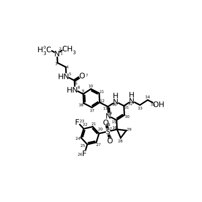 CN(C)CCNC(=O)Nc1ccc(C2=NC(C3(S(=O)(=O)c4cc(F)cc(F)c4)CC3)=CC(NCCO)N2)cc1